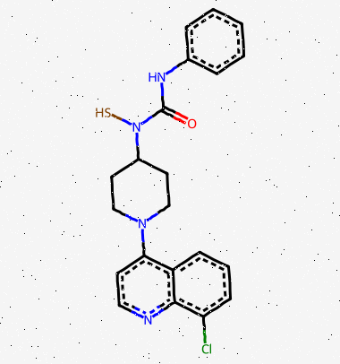 O=C(Nc1ccccc1)N(S)C1CCN(c2ccnc3c(Cl)cccc23)CC1